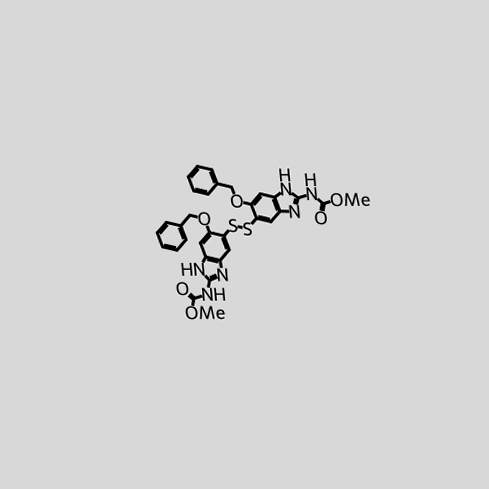 COC(=O)Nc1nc2cc(SSc3cc4nc(NC(=O)OC)[nH]c4cc3OCc3ccccc3)c(OCc3ccccc3)cc2[nH]1